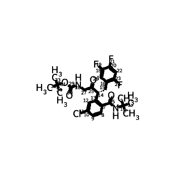 CC(C)(C)NC(=O)c1ccc(Cl)cc1[C@@H](Cc1cc(F)c(F)cc1F)C(=O)CNC(=O)OC(C)(C)C